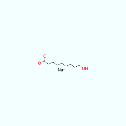 O=C([O-])CCCCCCCCO.[Na+]